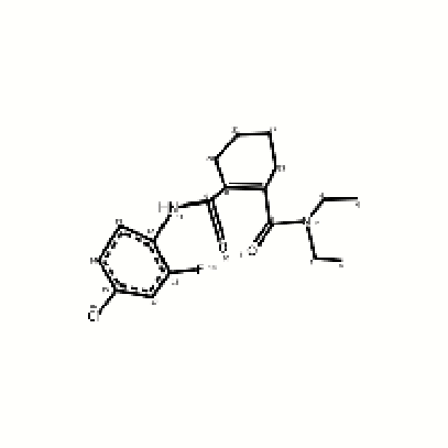 CCN(CC)C(=O)C1=C(C(=O)Nc2ccc(Cl)cc2F)CCCC1